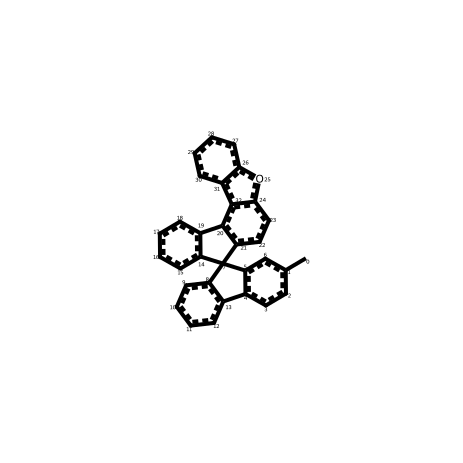 Cc1ccc2c(c1)C1(c3ccccc3-2)c2ccccc2-c2c1ccc1oc3ccccc3c21